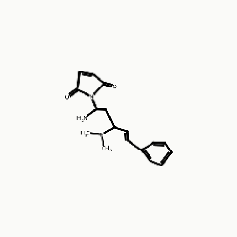 CN(C)C(C=Cc1ccccc1)CC(N)N1C(=O)C=CC1=O